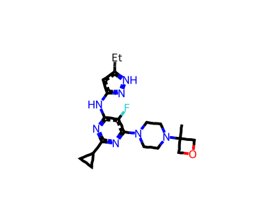 CCc1cc(Nc2nc(C3CC3)nc(N3CCN(C4(C)COC4)CC3)c2F)n[nH]1